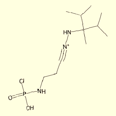 CC(C)C(C)(N[N+]#CCCNP(=O)(O)Cl)C(C)C